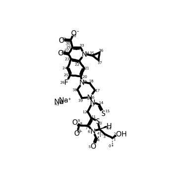 C[C@@H](O)[C@@H]1C(=O)N2C(C(=O)[O-])=C(CN(C=S)N3CCN(c4cc5c(cc4F)c(=O)c(C(=O)[O-])cn5C4CC4)CC3)S[C@H]12.[Na+].[Na+]